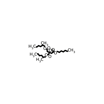 CCCCCCCOC(=O)CC(O)(CC(=O)OCC(C)CCCC)C(=O)OCC(C)CCCC